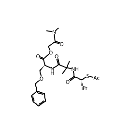 CC(=O)S[C@H](C(=O)NC(C)(C)C(=O)N[C@@H](COCc1ccccc1)C(=O)OCC(=O)N(C)C)C(C)C